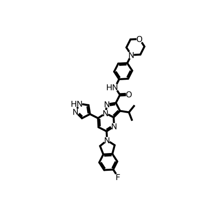 CC(C)c1c(C(=O)Nc2ccc(N3CCOCC3)cc2)nn2c(-c3cn[nH]c3)cc(N3Cc4ccc(F)cc4C3)nc12